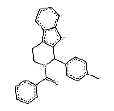 Cc1ccc(C2c3[nH]c4ccccc4c3CCN2C(=O)c2ccccc2)cc1